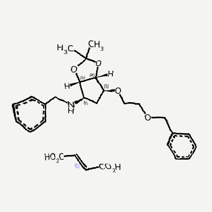 CC1(C)O[C@@H]2[C@H](O1)[C@@H](OCCOCc1ccccc1)C[C@H]2NCc1ccccc1.O=C(O)/C=C/C(=O)O